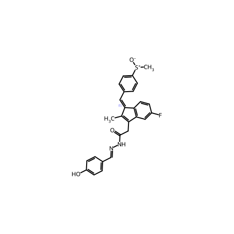 CC1=C(CC(=O)NN=Cc2ccc(O)cc2)c2cc(F)ccc2/C1=C\c1ccc([S+](C)[O-])cc1